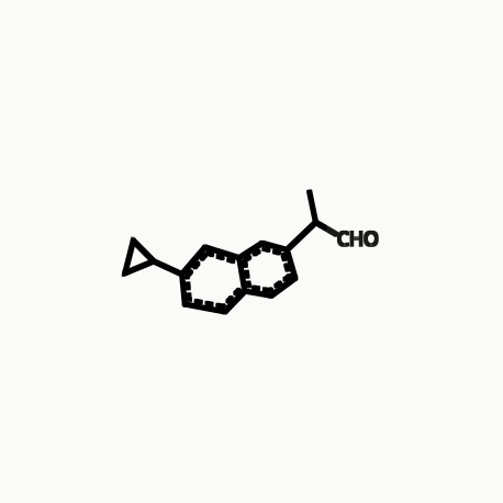 CC(C=O)c1ccc2ccc(C3CC3)cc2c1